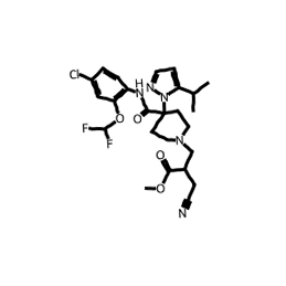 COC(=O)C(CC#N)CN1CCC(C(=O)Nc2ccc(Cl)cc2OC(F)F)(n2nccc2C(C)C)CC1